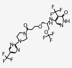 O=C(CCOC[C@H](COC(F)(F)F)Nc1cn[nH]c(=O)c1C(F)(F)F)N1CCN(c2ncc(C(F)(F)F)cn2)CC1